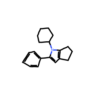 c1ccc(-c2cc3c(n2C2CCCCC2)CCC3)cc1